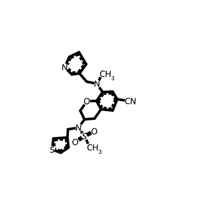 CN(Cc1cccnc1)c1cc(C#N)cc2c1OCC(N(Cc1ccsc1)S(C)(=O)=O)C2